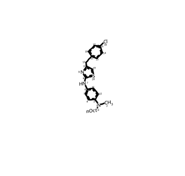 CCCCCCCCN(C)c1ccc(Nc2nc(Cc3ccc(Cl)cc3)cs2)cc1